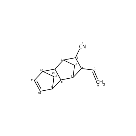 C=CC1C(C#N)C2CC1C1C3C=CC(C3)C21